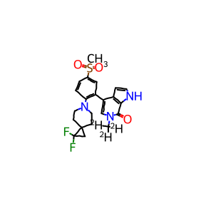 [2H]C([2H])([2H])n1cc(-c2cc(S(C)(=O)=O)ccc2N2CCC3(CC2)CC3(F)F)c2cc[nH]c2c1=O